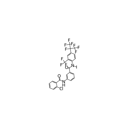 O=C(Nc1cccc(C(=O)N(I)c2ccc(C(F)(C(F)(F)F)C(F)(F)F)cc2C(F)(F)F)c1)c1ccccc1Cl